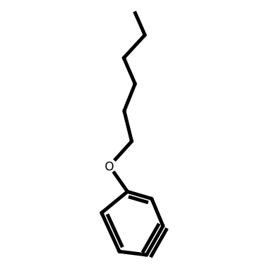 CCCCCCOc1cc#ccc1